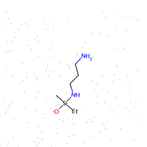 CC[Si](C)([O])NCCCN